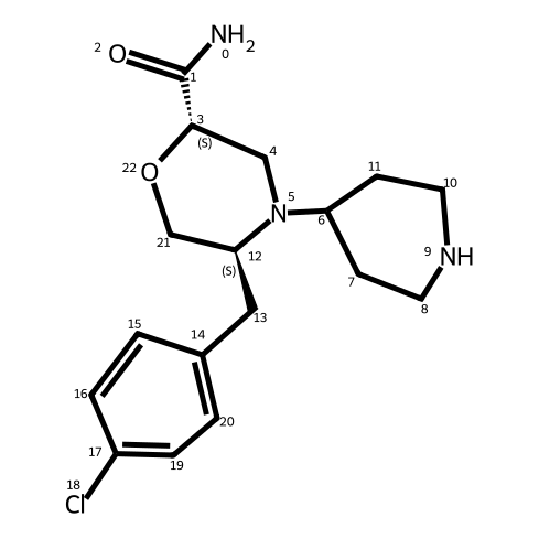 NC(=O)[C@@H]1CN(C2CCNCC2)[C@@H](Cc2ccc(Cl)cc2)CO1